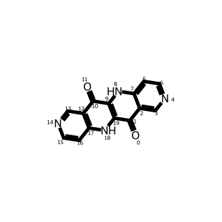 O=c1c2cnccc2[nH]c2c(=O)c3cnccc3[nH]c12